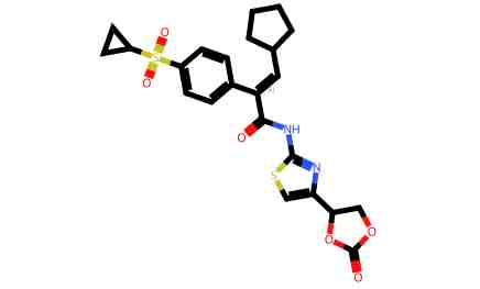 O=C1OCC(c2csc(NC(=O)/C(=C/C3CCCC3)c3ccc(S(=O)(=O)C4CC4)cc3)n2)O1